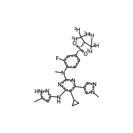 [2H]C([2H])([2H])C(C([2H])([2H])[2H])S(=O)(=O)c1ccc(N(C)c2nc(Nc3cc(C)[nH]n3)c(C3CC3)c(-c3cnn(C)c3)n2)c(F)c1